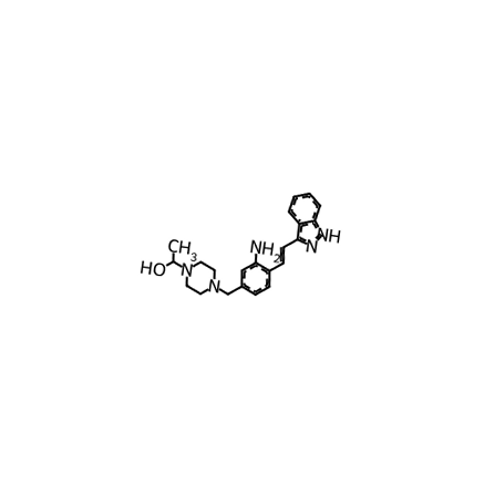 CC(O)N1CCN(Cc2ccc(C=Cc3n[nH]c4ccccc34)c(N)c2)CC1